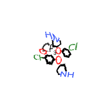 Clc1cccc(OC2CCNCC2)c1.FC(F)(F)Oc1cc(OC2CCNCC2)ccc1Cl